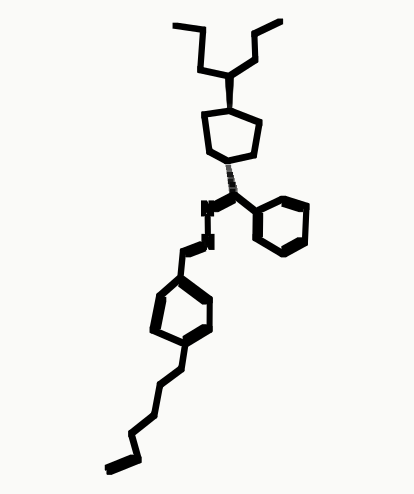 C=CCCCCc1ccc(C=NN=C(c2ccccc2)[C@H]2CC[C@H](C(CCC)CCC)CC2)cc1